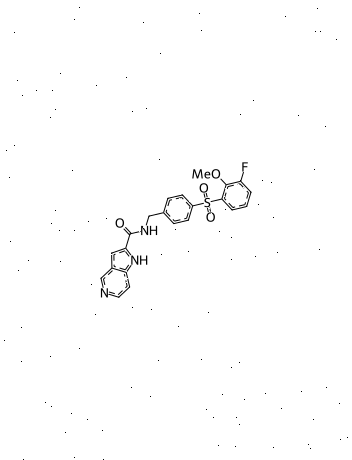 COc1c(F)cccc1S(=O)(=O)c1ccc(CNC(=O)c2cc3cnccc3[nH]2)cc1